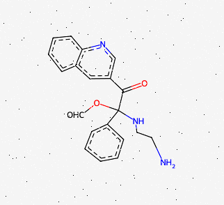 NCCNC(OC=O)(C(=O)c1cnc2ccccc2c1)c1ccccc1